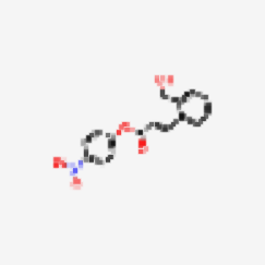 O=C(/C=C/c1ccccc1CO)Oc1ccc([N+](=O)[O-])cc1